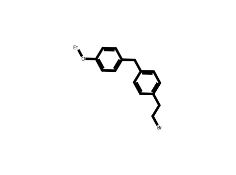 CCOc1ccc(Cc2ccc(CCBr)cc2)cc1